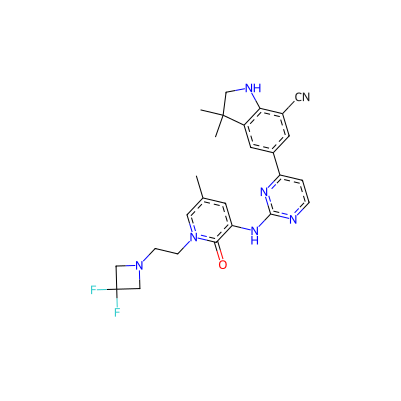 Cc1cc(Nc2nccc(-c3cc(C#N)c4c(c3)C(C)(C)CN4)n2)c(=O)n(CCN2CC(F)(F)C2)c1